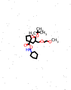 COCCOCC(CC1(C(=O)ONC2CCCCC2)CCCC1)C(=O)OC(C)(C)C